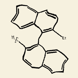 CCc1ccc2ccccc2c1-c1c(C)ccc2ccccc12